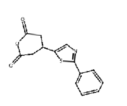 O=C1CC(c2cnc(-c3ccccc3)s2)CC(=O)O1